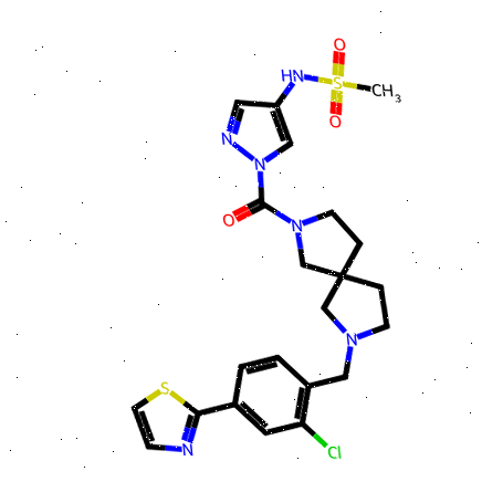 CS(=O)(=O)Nc1cnn(C(=O)N2CCC3(CCN(Cc4ccc(-c5nccs5)cc4Cl)C3)C2)c1